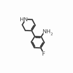 Nc1cc(F)ccc1C1=CCNCC1